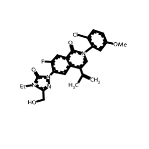 C=C(C)c1cn(-c2cc(OC)ccc2Cl)c(=O)c2cc(F)c(-n3nc(CO)n(CC)c3=O)cc12